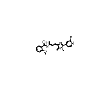 C=c1/c(=C\C=C(/C)NC(=O)c2ccccc2OC)nc(-c2ccnc(F)c2)n1C